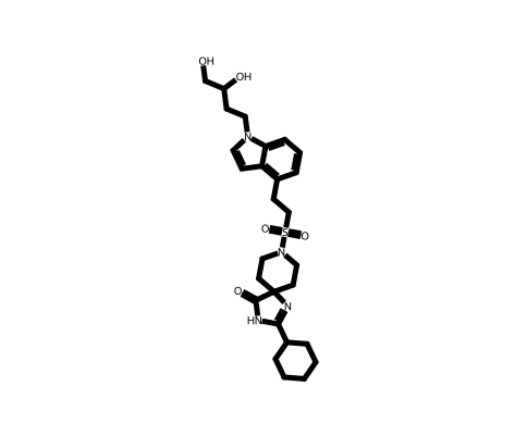 O=C1NC(C2CCCCC2)=NC12CCN(S(=O)(=O)CCc1cccc3c1ccn3CCC(O)CO)CC2